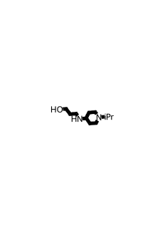 CC(C)N1CCC(NCCCO)CC1